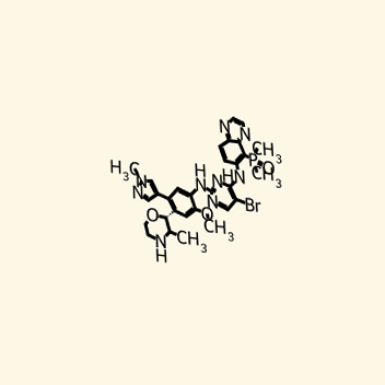 COc1cc([C@H]2OCCNC2C)c(-c2cnn(C)c2)cc1Nc1ncc(Br)c(Nc2ccc3nccnc3c2P(C)(C)=O)n1